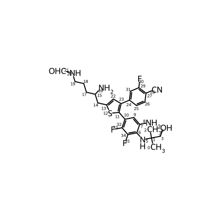 CC(C)(CO)Nc1c(N)cc(-c2sc(CC(N)CCCNC=O)cc2-c2ccc(C#N)c(F)c2)c(F)c1F